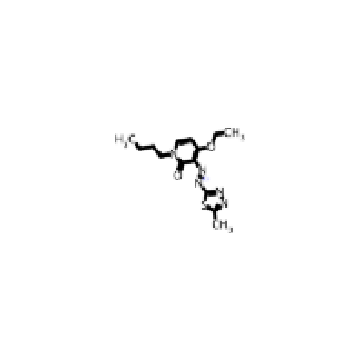 CCCCn1ccc(OCC)c(/N=N/c2nnc(C)s2)c1=O